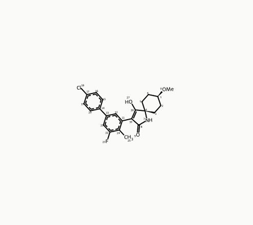 CO[C@H]1CC[C@@]2(CC1)NC(=O)C(c1cc(-c3ccc(Cl)cc3)cc(F)c1C)=C2O